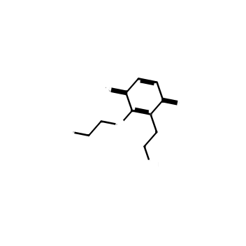 N=C1C=CC(=O)C(CCO)=C1OCCO